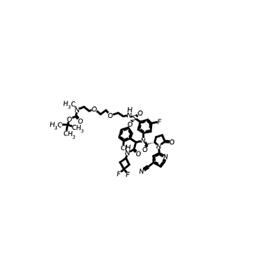 CN(CCOCCOCCNS(=O)(=O)c1cc(F)cc(N(C(=O)[C@@H]2CCC(=O)N2c2cc(C#N)ccn2)C(C(=O)NC2CC(F)(F)C2)c2ccccc2Cl)c1)C(=O)OC(C)(C)C